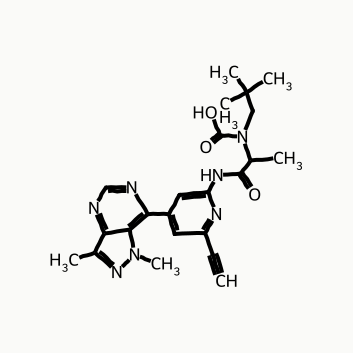 C#Cc1cc(-c2ncnc3c(C)nn(C)c23)cc(NC(=O)C(C)N(CC(C)(C)C)C(=O)O)n1